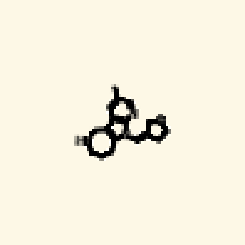 Cc1cnc2c(c1)c1c(n2/C=C2/CCOC2)CCCNC1